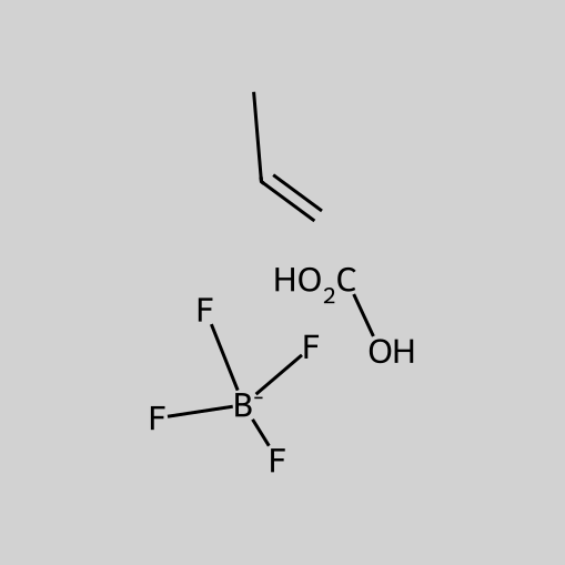 C=CC.F[B-](F)(F)F.O=C(O)O